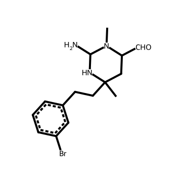 CN1C(C=O)CC(C)(CCc2cccc(Br)c2)NC1N